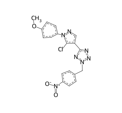 COc1ccc(-n2ncc(-c3nnn(Cc4ccc([N+](=O)[O-])cc4)n3)c2Cl)cc1